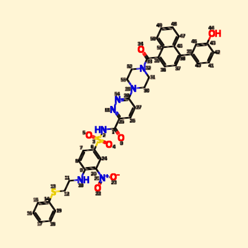 O=C(NS(=O)(=O)c1ccc(NCCSc2ccccc2)c([N+](=O)[O-])c1)c1ccc(N2CCN(C(=O)c3ccc(-c4cccc(O)c4)c4ccccc34)CC2)nn1